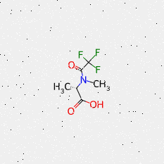 C[C@@H](C(=O)O)N(C)C(=O)C(F)(F)F